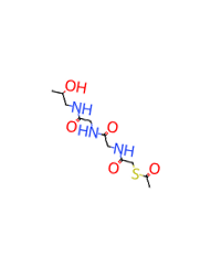 CC(=O)SCC(=O)NCC(=O)NCC(=O)NCC(C)O